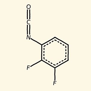 O=C=Nc1cccc(F)c1F